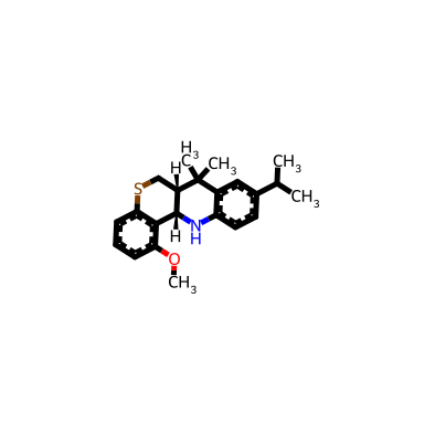 COc1cccc2c1[C@H]1Nc3ccc(C(C)C)cc3C(C)(C)[C@H]1CS2